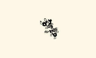 C=C1CN2C(=O)c3cc(OC)ccc3NC(S(=O)(=O)[O-])C2C1OCCCOC1C(=C)CN2C(=O)c3cc(OC)ccc3NC(S(=O)(=O)[O-])[C@H]12.[Na+].[Na+]